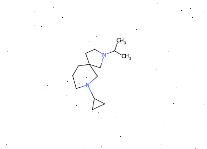 CC(C)N1CCC2(CCCN(C3CC3)C2)C1